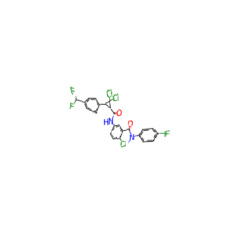 CN(C(=O)c1cc(NC(=O)C2C(c3ccc(C(F)F)cc3)C2(Cl)Cl)ccc1Cl)c1ccc(F)cc1